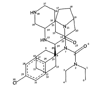 CCN(CC)C(=O)N(C1CCCCC1)C1CC2CCC(C1)N2C(=O)[C@@H](Cc1ccc(Cl)cc1)NC1CCCNC1